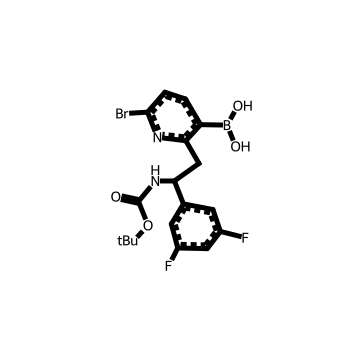 CC(C)(C)OC(=O)NC(Cc1nc(Br)ccc1B(O)O)c1cc(F)cc(F)c1